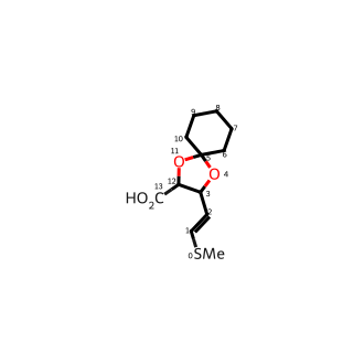 CS/C=C/C1OC2(CCCCC2)OC1C(=O)O